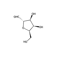 O=C[C@H]1O[C@H](CO)[C@H](O)[C@@H]1O